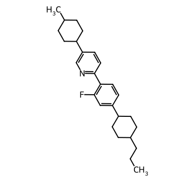 CCCC1CCC(c2ccc(-c3ccc(C4CCC(C)CC4)cn3)c(F)c2)CC1